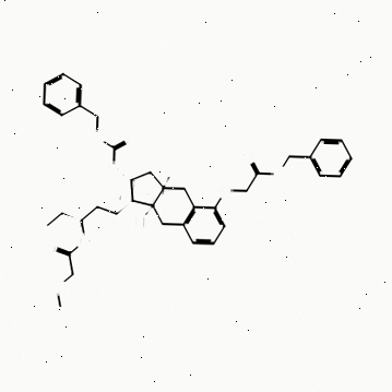 CC[C@@H](CC[C@@H]1[C@H]2Cc3cccc(OCC(=O)OCc4ccccc4)c3C[C@H]2C[C@H]1OC(=O)OCc1ccccc1)OC(=O)COC